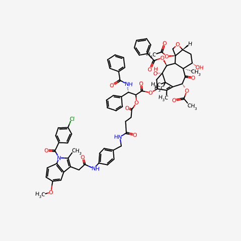 COc1ccc2c(c1)c(CC(=O)Nc1ccc(CNC(=O)CCC(=O)OC(C(=O)OC3C[C@@]4(O)[C@@H](OC(=O)c5ccccc5)C5[C@](C)(C(=O)[C@H](OC(C)=O)C(=C3C)C4(C)C)[C@@H](O)C[C@H]3OC[C@@]53OC(C)=O)[C@@H](NC(=O)c3ccccc3)c3ccccc3)cc1)c(C)n2C(=O)c1ccc(Cl)cc1